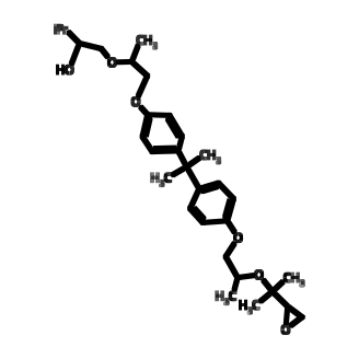 CC(COc1ccc(C(C)(C)c2ccc(OCC(C)OC(C)(C)C3CO3)cc2)cc1)OCC(O)C(C)C